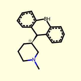 CN1CCC[C@@H](C2c3ccccc3Bc3ccccc32)C1